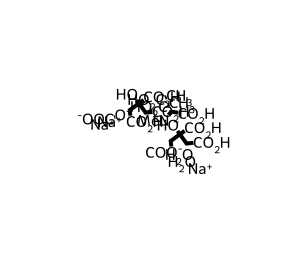 CC(=O)O.CC(=O)O.CNCC(=O)O.O.O.O=C(O)CC(O)(CC(=O)O)C(=O)O.O=C([O-])CC(O)(CC(=O)O)C(=O)O.O=C([O-])[O-].[Na+].[Na+].[Na+]